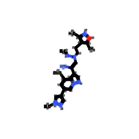 C=NN(/C=C(\N)c1cnn2cc(-c3cnn(C)c3)cc(OC)c12)CCc1c(C)noc1C